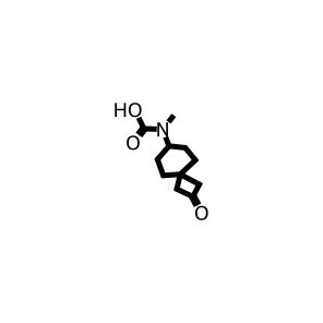 CN(C(=O)O)C1CCC2(CC1)CC(=O)C2